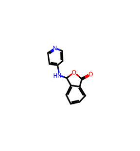 O=C1OC(Nc2ccncc2)c2ccccc21